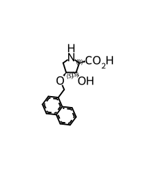 O=C(O)[C@@H]1NC[C@H](OCc2cccc3ccccc23)[C@H]1O